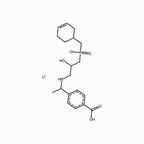 CC(NCC(O)CP(=O)([O-])CC1CC=CCC1)c1ccc(C(=O)O)cc1.[Li+]